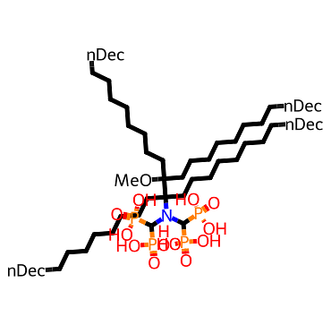 CCCCCCCCCCCCCCCCCCC(CCCCCCCCCCCCCCCCCC)(OC)C(CCCCCCCCCCCCCCCCCC)(CCCCCCCCCCCCCCCCCC)N(C(P(=O)(O)O)P(=O)(O)O)C(P(=O)(O)O)P(=O)(O)O